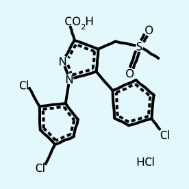 CS(=O)(=O)Cc1c(C(=O)O)nn(-c2ccc(Cl)cc2Cl)c1-c1ccc(Cl)cc1.Cl